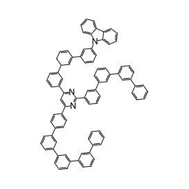 C1=CC(c2cccc(-n3c4ccccc4c4ccccc43)c2)=CC(c2cccc(-c3cc(-c4ccc(-c5cccc(-c6cccc(-c7cccc(-c8ccccc8)c7)c6)c5)cc4)nc(-c4cccc(-c5cccc(-c6cccc(-c7ccccc7)c6)c5)c4)n3)c2)C1